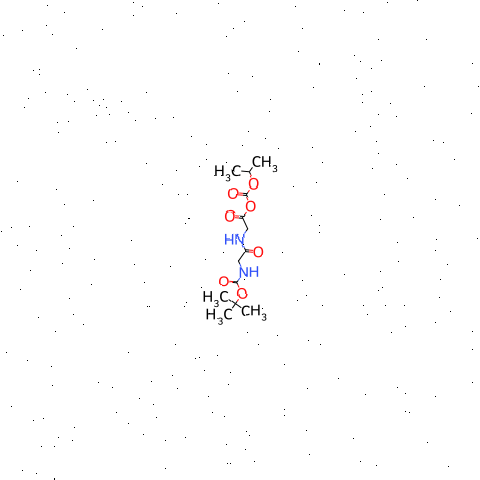 CC(C)OC(=O)OC(=O)CNC(=O)CNC(=O)OC(C)(C)C